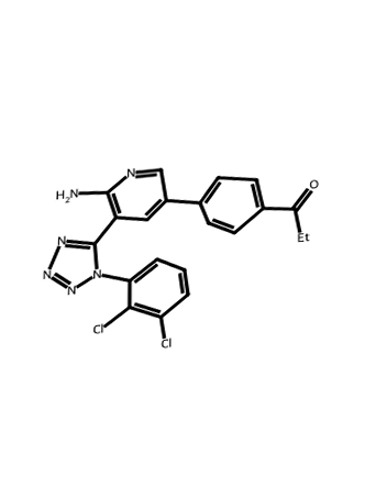 CCC(=O)c1ccc(-c2cnc(N)c(-c3nnnn3-c3cccc(Cl)c3Cl)c2)cc1